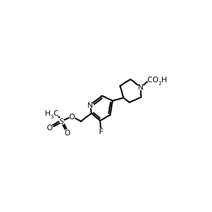 CS(=O)(=O)OCc1ncc(C2CCN(C(=O)O)CC2)cc1F